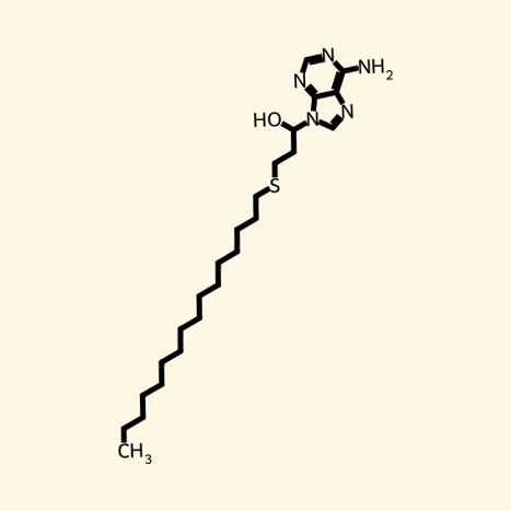 CCCCCCCCCCCCCCCCSCCC(O)n1cnc2c(N)ncnc21